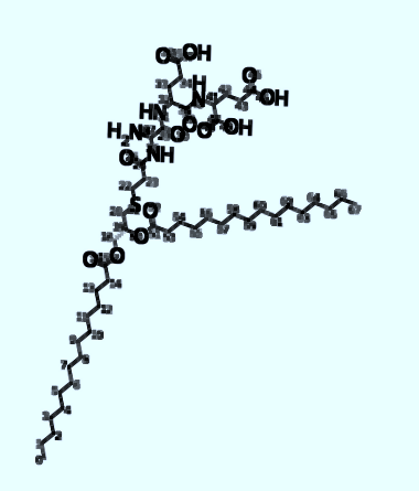 CCCCCCCCCCCCCCCC(=O)OC[C@H](CSCCC(=O)N[C@@H](N)C(=O)NC(CCC(=O)O)C(=O)NC(CCC(=O)O)C(=O)O)OC(=O)CCCCCCCCCCCCCCC